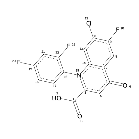 O=C(O)c1cc(=O)c2cc(F)c(Cl)cc2n1-c1ccc(F)cc1F